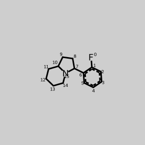 Fc1ccccc1C1CCC2CCCCN21